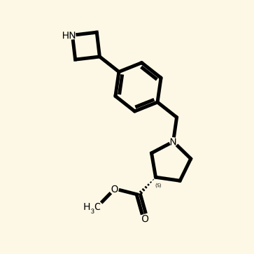 COC(=O)[C@H]1CCN(Cc2ccc(C3CNC3)cc2)C1